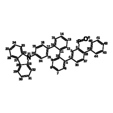 O=Pc1cc(-c2ccccc2-c2ccccc2-c2ccc(-n3c4ccccc4c4ccccc43)cc2)ccc1-c1ccccc1